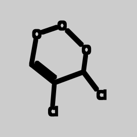 ClC1=COOOC1Cl